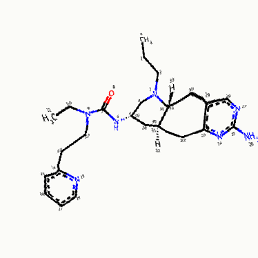 CCCN1C[C@@H](NC(=O)N(CC)CCc2ccccn2)C[C@@H]2Cc3nc(N)ncc3C[C@H]21